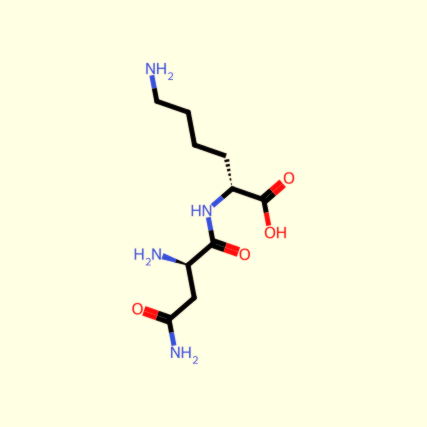 NCCCC[C@@H](NC(=O)[C@H](N)CC(N)=O)C(=O)O